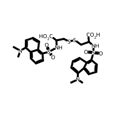 CN(C)c1cccc2c(S(=O)(=O)NC(CSSCC(NS(=O)(=O)c3cccc4c(N(C)C)cccc34)C(=O)O)C(=O)O)cccc12